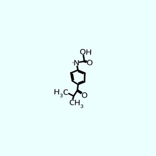 CC(C)C(=O)c1ccc([N]C(=O)O)cc1